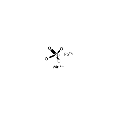 [Mn+2].[O]=[Sb]([O-])([O-])[O-].[Pb+2]